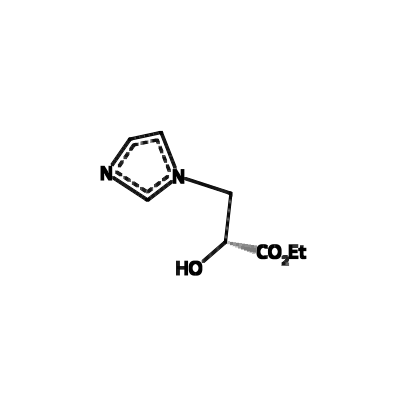 CCOC(=O)[C@H](O)Cn1ccnc1